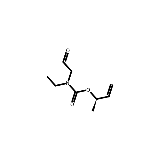 C=C[C@@H](C)OC(=O)N(CC)CC=O